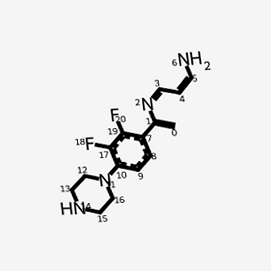 C=C(/N=C\C=C/N)c1ccc(N2CCNCC2)c(F)c1F